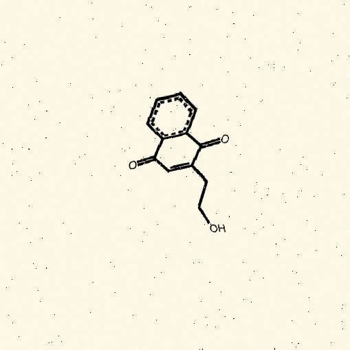 O=C1C=C(CCO)C(=O)c2ccccc21